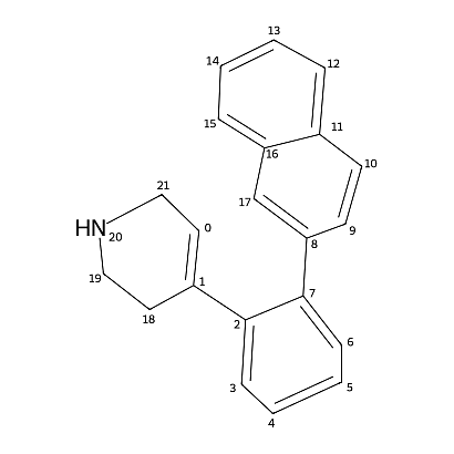 C1=C(c2ccccc2-c2ccc3ccccc3c2)CCNC1